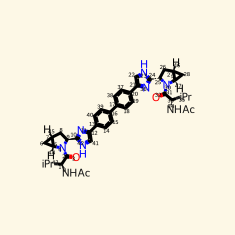 CC(=O)N[C@H](C(=O)N1[C@@H]2C[C@@H]2C[C@H]1c1nc(-c2ccc(-c3ccc(-c4c[nH]c([C@@H]5C[C@@H]6C[C@H]6N5C(=O)[C@@H](NC(C)=O)C(C)C)n4)cc3)cc2)c[nH]1)C(C)C